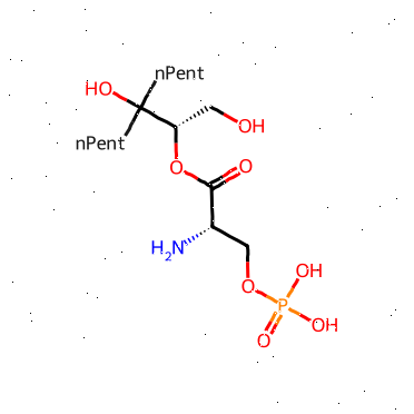 CCCCCC(O)(CCCCC)[C@H](CO)OC(=O)[C@@H](N)COP(=O)(O)O